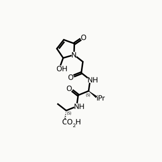 CC(C)[C@H](NC(=O)CN1C(=O)C=CC1O)C(=O)N[C@@H](C)C(=O)O